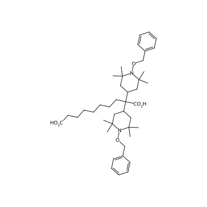 CC1(C)CC(C(CCCCCCCC(=O)O)(C(=O)O)C2CC(C)(C)N(OCc3ccccc3)C(C)(C)C2)CC(C)(C)N1OCc1ccccc1